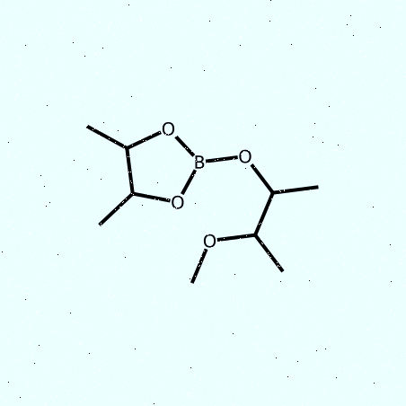 COC(C)C(C)OB1OC(C)C(C)O1